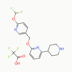 FC(F)Oc1ccc(COc2cccc(C3CCNCC3)n2)cn1.O=C(O)C(F)(F)F